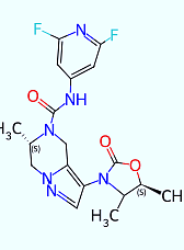 CC1[C@H](C)OC(=O)N1c1cnn2c1CN(C(=O)Nc1cc(F)nc(F)c1)[C@@H](C)C2